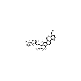 CC1c2c(ccc(-c3nccc(CCl)c3F)c2F)C(=O)N1C(CCC(=O)OC(C)(C)C)C(N)=O